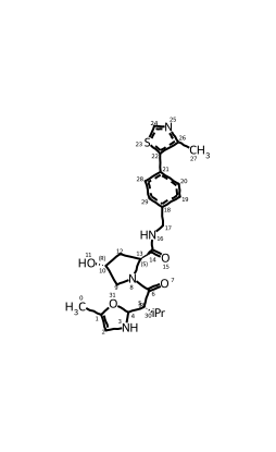 CC1=CNC([C@H](C(=O)N2C[C@H](O)C[C@H]2C(=O)NCc2ccc(-c3scnc3C)cc2)C(C)C)O1